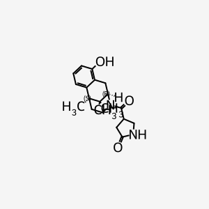 CC1(C)[C@H]2Cc3c(O)cccc3[C@]1(C)CCN2C(=O)C1CNC(=O)C1